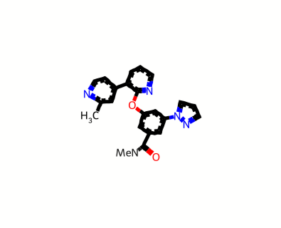 CNC(=O)c1cc(Oc2ncccc2-c2ccnc(C)c2)cc(-n2cccn2)c1